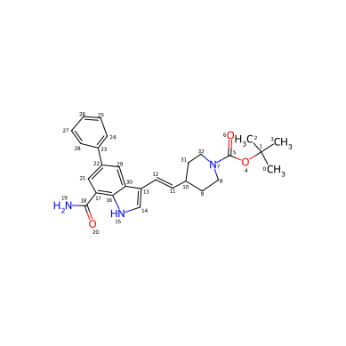 CC(C)(C)OC(=O)N1CCC(C=Cc2c[nH]c3c(C(N)=O)cc(-c4ccccc4)cc23)CC1